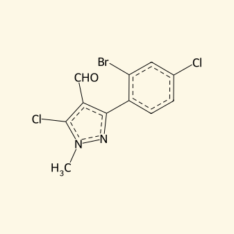 Cn1nc(-c2ccc(Cl)cc2Br)c(C=O)c1Cl